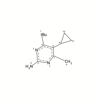 Cc1nc(N)nc(C(C)(C)C)c1C1CC1